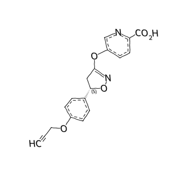 C#CCOc1ccc([C@@H]2CC(Oc3ccc(C(=O)O)nc3)=NO2)cc1